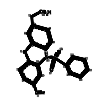 COc1ccc(Oc2cccc(CC(=O)O)c2)c(NS(=O)(=O)c2ccccc2)c1